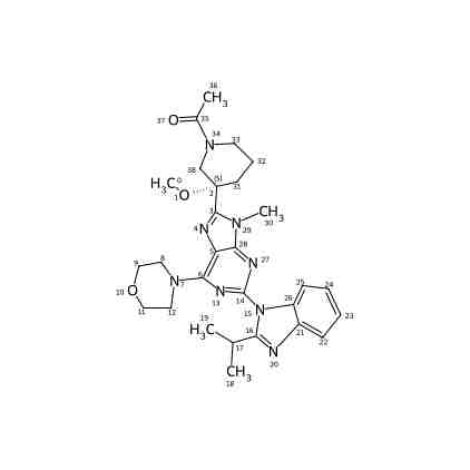 CO[C@@]1(c2nc3c(N4CCOCC4)nc(-n4c(C(C)C)nc5ccccc54)nc3n2C)CCCN(C(C)=O)C1